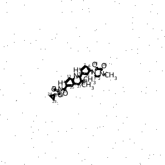 CN1CCN(c2cccc(C3Nc4ccc(C(=O)NS(=O)(=O)C5CC5)cc4CC3(C)C)c2)C(=O)C1=O